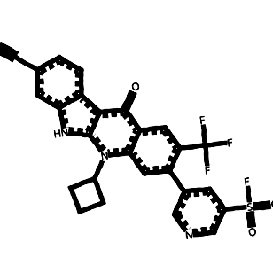 N#Cc1ccc2c(c1)[nH]c1c2c(=O)c2cc(C(F)(F)F)c(-c3cncc(S(=O)(=O)F)c3)cc2n1C1CCC1